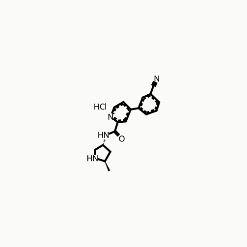 C[C@@H]1C[C@@H](NC(=O)c2cc(-c3cccc(C#N)c3)ccn2)CN1.Cl